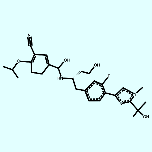 CC(C)OC1=C(C#N)C=C(C(O)N[C@H](CCO)Cc2ccc(-c3cn(C)c(C(C)(C)O)n3)c(F)c2)CC1